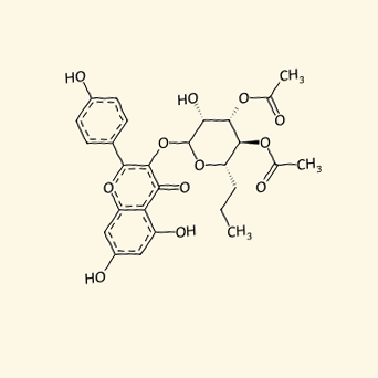 CCC[C@@H]1OC(Oc2c(-c3ccc(O)cc3)oc3cc(O)cc(O)c3c2=O)[C@H](O)[C@H](OC(C)=O)[C@H]1OC(C)=O